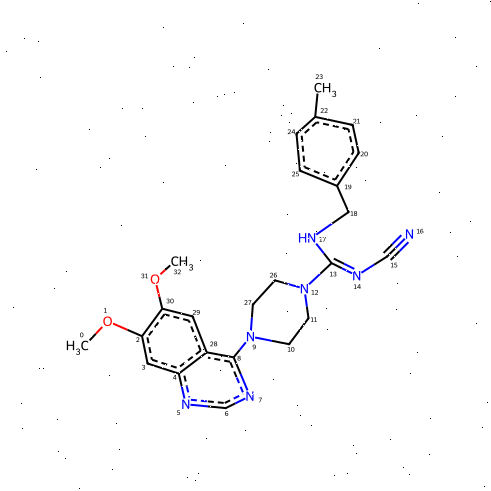 COc1cc2ncnc(N3CCN(/C(=N/C#N)NCc4ccc(C)cc4)CC3)c2cc1OC